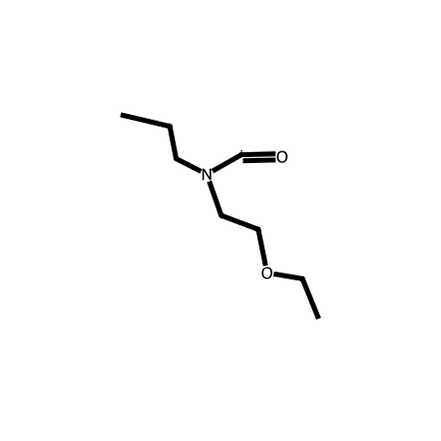 CCCN([C]=O)CCOCC